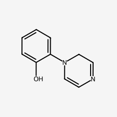 Oc1ccccc1N1C=CN=CC1